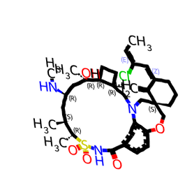 C=C1/C(=C\C(Cl)=C/C)CCC[C@]12COc1ccc3cc1N(C[C@@H]1CC[C@H]1[C@](C)(O)C[C@H](NC)C[C@H](C)[C@@H](C)S(=O)(=O)NC3=O)C2